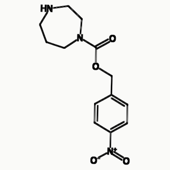 O=C(OCc1ccc([N+](=O)[O-])cc1)N1CCCNCC1